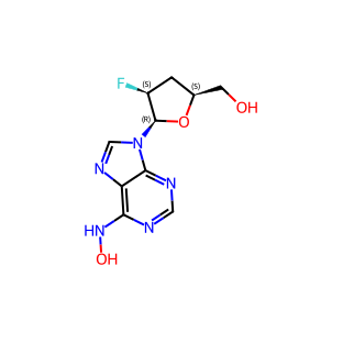 OC[C@@H]1C[C@H](F)[C@H](n2cnc3c(NO)ncnc32)O1